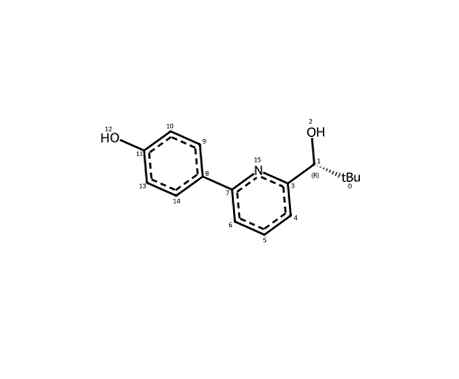 CC(C)(C)[C@@H](O)c1cccc(-c2ccc(O)cc2)n1